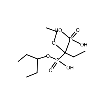 CCOC(CC)(P(=O)(O)O)P(=O)(O)OC(CC)CC